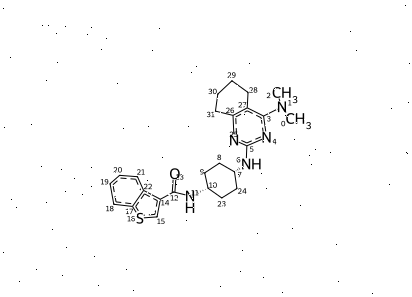 CN(C)c1nc(N[C@H]2CC[C@@H](NC(=O)c3csc4ccccc34)CC2)nc2c1CCCC2